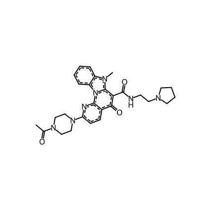 CC(=O)N1CCN(c2ccc3c(=O)c(C(=O)NCCN4CCCC4)c4n(C)c5ccccc5n4c3n2)CC1